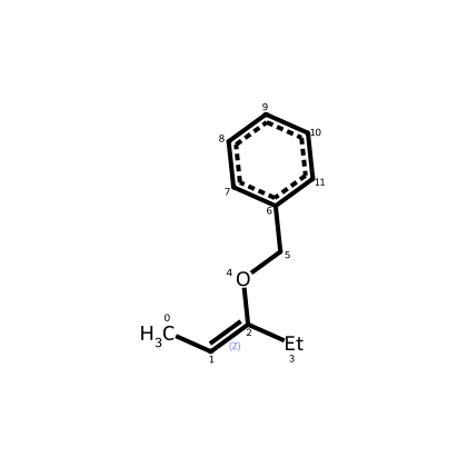 C/C=C(/CC)OCc1ccccc1